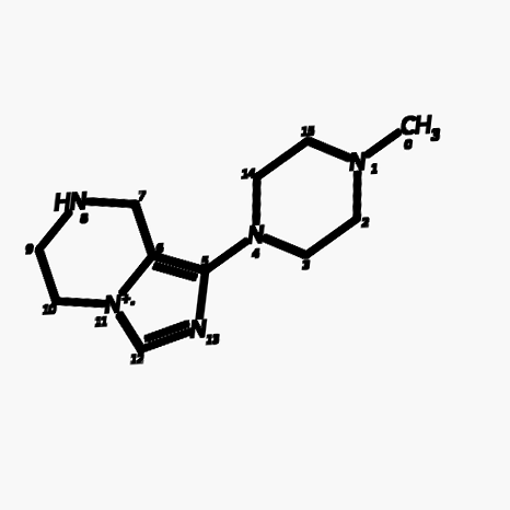 CN1CCN(C2=C3CNCC[N+]3C=N2)CC1